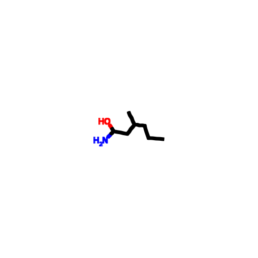 CCCC(C)CC(N)O